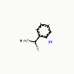 CCOC(=O)C(Br)c1ccccc1.N